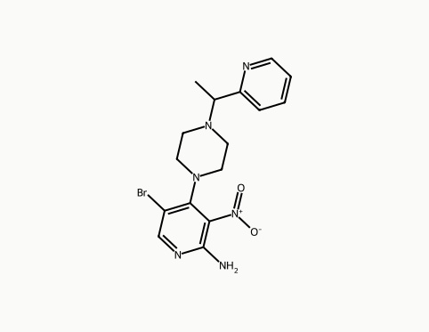 CC(c1ccccn1)N1CCN(c2c(Br)cnc(N)c2[N+](=O)[O-])CC1